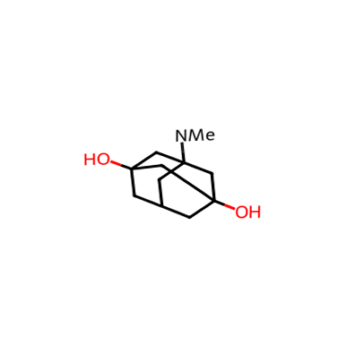 CNC12CC3CC(O)(CC(O)(C3)C1)C2